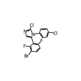 Fc1ccc(Br)c(F)c1-c1cnc(Cl)n1-c1ccc(Cl)cc1